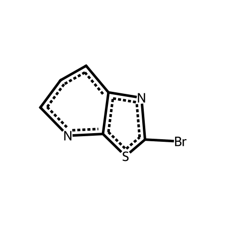 Brc1nc2cccnc2s1